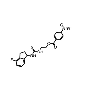 O=C(OCCNC(=S)NC1CCc2c(F)cccc21)c1ccc([N+](=O)[O-])cc1